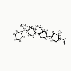 CN(c1ccc(-c2ccc(-c3ccn(CF)c(=O)c3)cc2O)nn1)C1CCCCC1